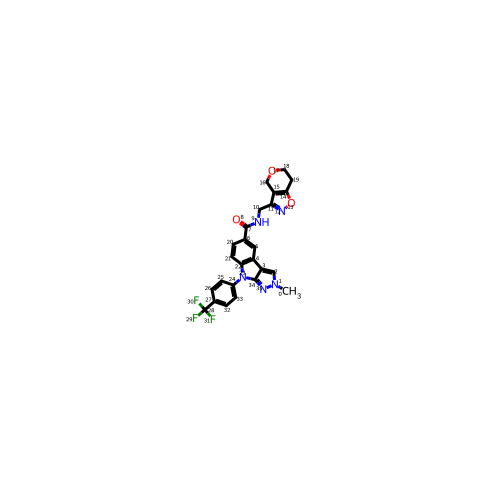 Cn1cc2c3cc(C(=O)NCc4noc5c4COCC5)ccc3n(-c3ccc(C(F)(F)F)cc3)c2n1